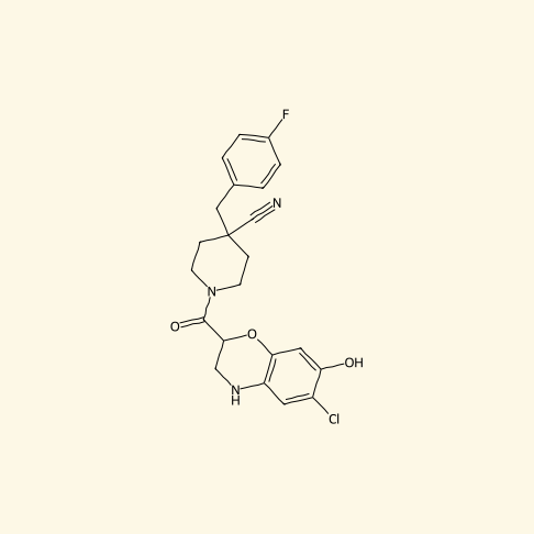 N#CC1(Cc2ccc(F)cc2)CCN(C(=O)C2CNc3cc(Cl)c(O)cc3O2)CC1